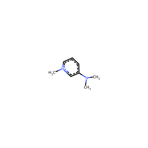 [CH2][n+]1cccc(N(C)C)c1